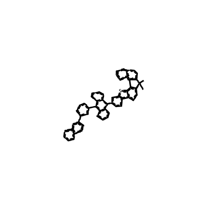 CC1(C)c2ccc3ccccc3c2-c2c1ccc1c2sc2cc(-c3c4ccccc4c(-c4cccc(-c5ccc6ccccc6c5)c4)c4ccccc34)ccc21